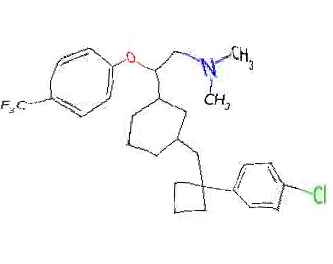 CN(C)CC(Oc1ccc(C(F)(F)F)cc1)C1CCCC(CC2(c3ccc(Cl)cc3)CCC2)C1